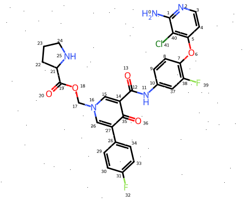 Nc1nccc(Oc2ccc(NC(=O)c3cn(COC(=O)C4CCCN4)cc(-c4ccc(F)cc4)c3=O)cc2F)c1Cl